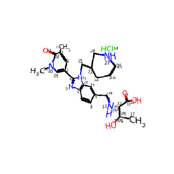 Cc1cc(-c2nc3ccc(CN[C@H](C(=O)O)[C@@H](C)O)cc3n2CC2CCCNC2)cn(C)c1=O.Cl